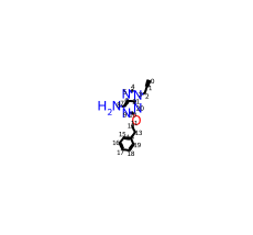 C#CCn1cnc2c(N)nc(OCCc3ccccc3)nc21